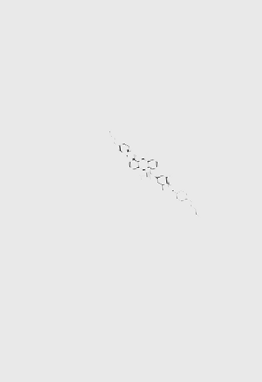 CCCCCC1CCC(COc2c(C)cc(Nc3cccc4c3C(=O)c3cccc(Sc5ccc(CCCC)cn5)c3C4=O)cc2C)CC1